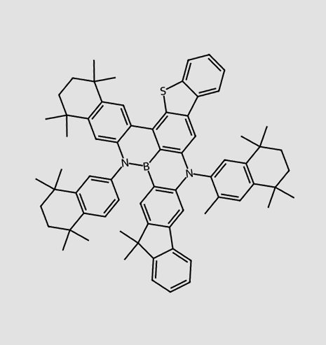 Cc1cc2c(cc1N1c3cc4c(cc3B3c5c1cc1c(sc6ccccc61)c5-c1cc5c(cc1N3c1ccc3c(c1)C(C)(C)CCC3(C)C)C(C)(C)CCC5(C)C)C(C)(C)c1ccccc1-4)C(C)(C)CCC2(C)C